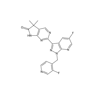 CC1(C)C(=O)Nc2nc(-c3nn(Cc4ccncc4F)c4ncc(F)cc34)ncc21